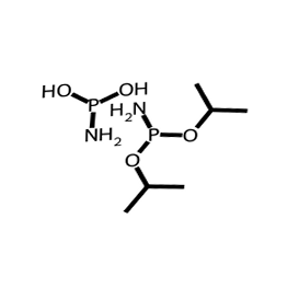 CC(C)OP(N)OC(C)C.NP(O)O